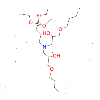 CCCCOCC(O)CN(CCC[Si](OCC)(OCC)OCC)CC(O)COCCCC